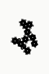 c1ccc(-c2cccc(N(c3ccc(-c4cc5ccccc5c5ccccc45)cc3)c3ccc(-c4c5nc(-c6ccccc6)oc5cc5c4oc4ccccc45)cc3)c2)cc1